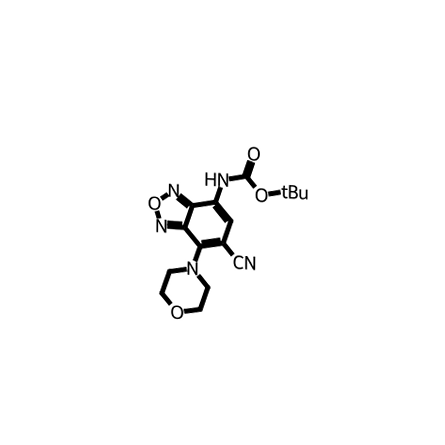 CC(C)(C)OC(=O)Nc1cc(C#N)c(N2CCOCC2)c2nonc12